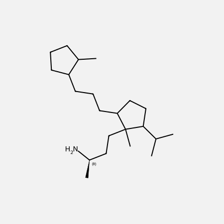 CC(C)C1CCC(CCCC2CCCC2C)C1(C)CC[C@@H](C)N